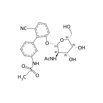 CC(=O)N[C@H]1[C@H](Oc2cccc(C#N)c2-c2cccc(NS(C)(=O)=O)c2)O[C@H](CO)[C@H](O)[C@@H]1O